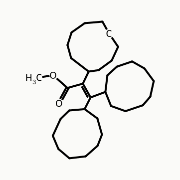 COC(=O)C(=C(C1CCCCCCCCC1)C1CCCCCCCCC1)C1CCCCCCCCC1